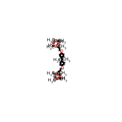 C[SiH]1O[SiH](C)O[Si](C)(CCCOc2ccc(C(C)(C)c3ccc(OCCC[Si]4(C)O[SiH](C)O[SiH](C)O[SiH](C)O4)cc3)cc2)O[SiH](C)O1